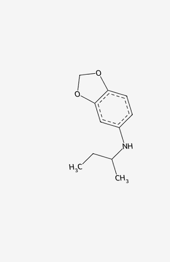 CCC(C)Nc1ccc2c(c1)OCO2